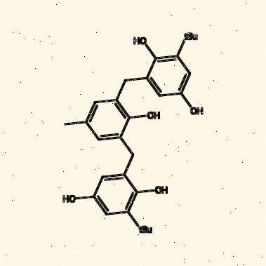 Cc1cc(Cc2cc(O)cc(C(C)(C)C)c2O)c(O)c(Cc2cc(O)cc(C(C)(C)C)c2O)c1